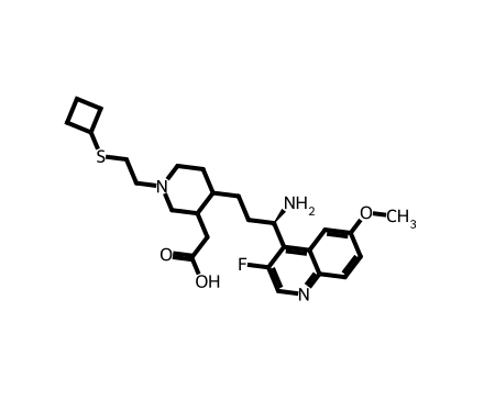 COc1ccc2ncc(F)c([C@H](N)CCC3CCN(CCSC4CCC4)CC3CC(=O)O)c2c1